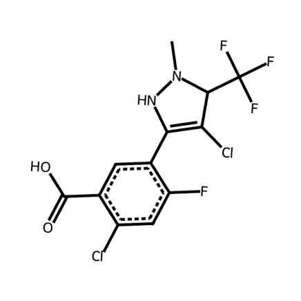 CN1NC(c2cc(C(=O)O)c(Cl)cc2F)=C(Cl)C1C(F)(F)F